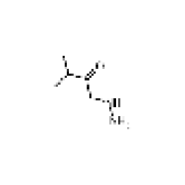 CC(C)C(=O)CNN